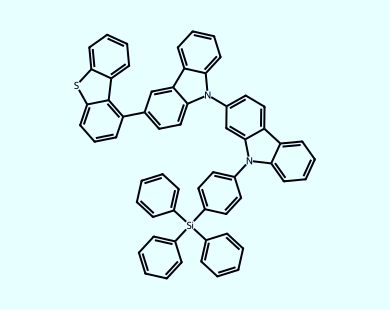 c1ccc([Si](c2ccccc2)(c2ccccc2)c2ccc(-n3c4ccccc4c4ccc(-n5c6ccccc6c6cc(-c7cccc8sc9ccccc9c78)ccc65)cc43)cc2)cc1